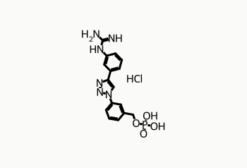 Cl.N=C(N)Nc1cccc(-c2cn(-c3cccc(COP(=O)(O)O)c3)nn2)c1